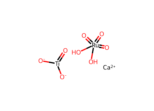 [Ca+2].[O]=[Ru](=[O])(=[O])([OH])[OH].[O]=[Ti]([O-])[O-]